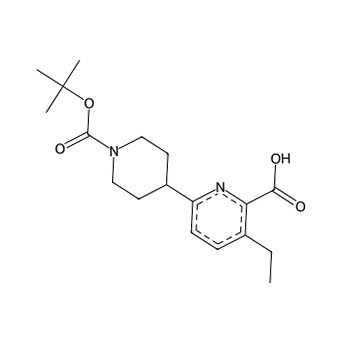 CCc1ccc(C2CCN(C(=O)OC(C)(C)C)CC2)nc1C(=O)O